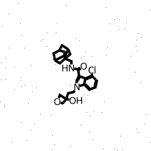 O=C(NCC12CC3CC(CC(C3)C1)C2)c1cn(CCC2(O)COC2)c2cccc(Cl)c12